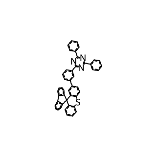 c1ccc(-c2nc(-c3ccccc3)nc(-c3cccc(-c4ccc5c(c4)C4(c6ccccc6S5)c5ccccc5-c5ccccc54)c3)n2)cc1